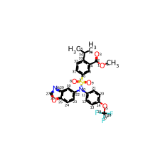 COC(=O)c1cc(S(=O)(=O)N(c2ccc(OC(F)(F)F)cc2)c2ccc3ocnc3c2)ccc1C(C)C